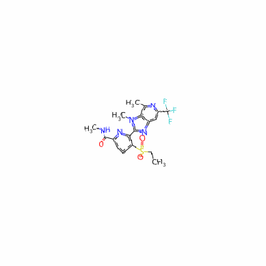 CCS(=O)(=O)c1ccc(C(=O)NC)nc1-c1nc2cc(C(F)(F)F)nc(C)c2n1C